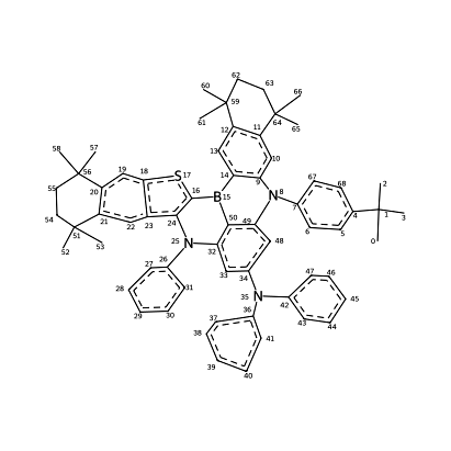 CC(C)(C)c1ccc(N2c3cc4c(cc3B3c5sc6cc7c(cc6c5N(c5ccccc5)c5cc(N(c6ccccc6)c6ccccc6)cc2c53)C(C)(C)CCC7(C)C)C(C)(C)CCC4(C)C)cc1